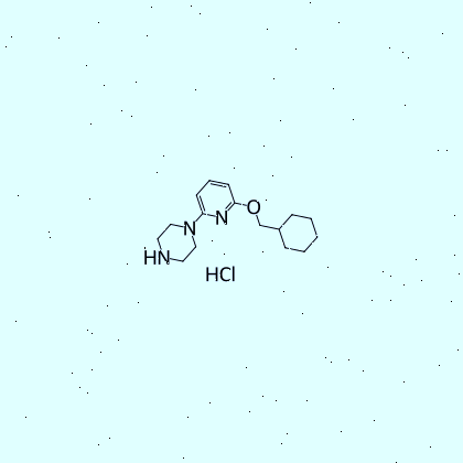 Cl.c1cc(OCC2CCCCC2)nc(N2CCNCC2)c1